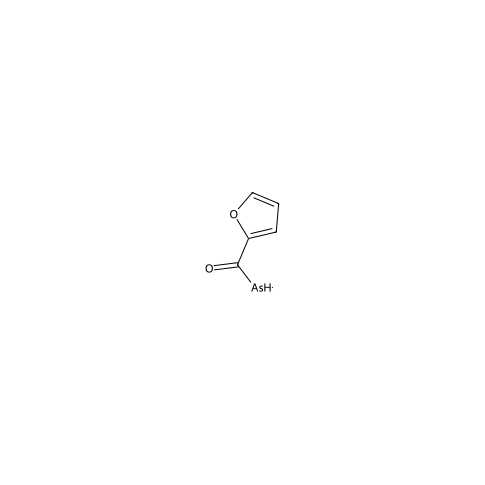 O=C([AsH])c1ccco1